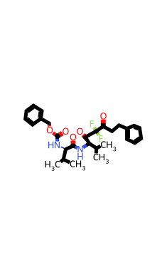 CC(C)C(NC(=O)[C@@H](NC(=O)OCc1ccccc1)C(C)C)C(=O)C(F)(F)C(=O)CCc1ccccc1